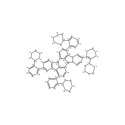 C1=CC2C(C=C1C1=C(C3CCCCC3)CCCC1)c1c(-c3ccccc3C3CCCCC3)ccc3c1N2c1ccc(-c2ccccc2C2CCCCC2)c2c4cc(-c5ccccc5C5CCCCC5)ccc4n-3c12